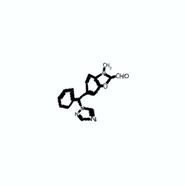 CN1c2ccc(C(c3ccccc3)n3cncn3)cc2OC1C=O